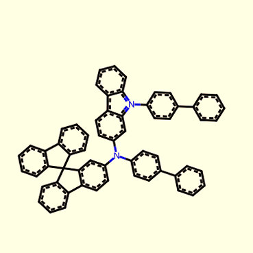 c1ccc(-c2ccc(N(c3ccc4c(c3)C3(c5ccccc5-c5ccccc53)c3ccccc3-4)c3ccc4c5ccccc5n(-c5ccc(-c6ccccc6)cc5)c4c3)cc2)cc1